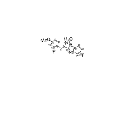 COc1ccc(CC2NC(=O)n3c2nc2cc(F)ccc23)c(F)c1